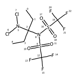 CCC(CC)(N(Cl)Cl)N(S(=O)(=O)C(F)(F)F)S(=O)(=O)C(F)(F)F